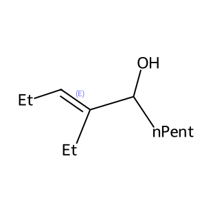 CC/C=C(\CC)C(O)CCCCC